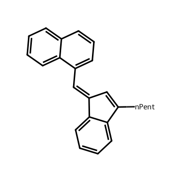 CCCCCC1=C/C(=C\c2cccc3ccccc23)c2ccccc21